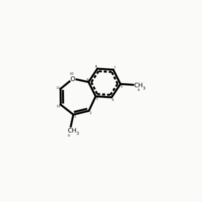 CC1=Cc2cc(C)ccc2OC=C1